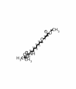 CCOC(=O)/C=C/COCCCCCCCCNC(=O)OC(C)(C)C